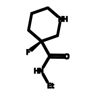 CCNC(=O)[C@]1(F)CCCNC1